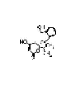 CC(C)[C@]1(CCc2ccccc2CO)CC(O)=CC(=O)O1